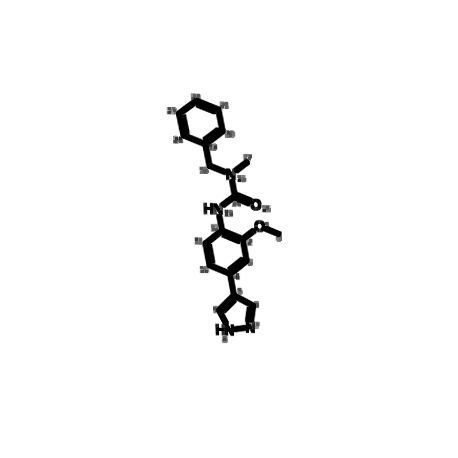 COc1cc(-c2cn[nH]c2)ccc1NC(=O)N(C)Cc1ccccc1